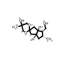 C[C@@H]1C[C@@H]2CC3(C[C@@H]2[C@H]1CO)OCC(C)(O)CO3